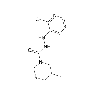 CC1CSCN(C(=O)NNc2nccnc2Cl)C1